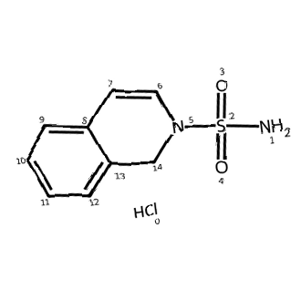 Cl.NS(=O)(=O)N1C=Cc2ccccc2C1